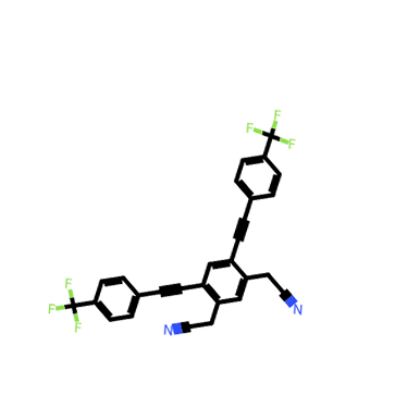 N#CCc1cc(CC#N)c(C#Cc2ccc(C(F)(F)F)cc2)cc1C#Cc1ccc(C(F)(F)F)cc1